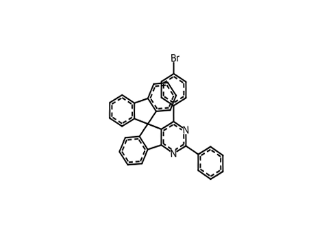 Brc1ccc(-c2nc(-c3ccccc3)nc3c2C2(c4ccccc4-c4ccccc42)c2ccccc2-3)cc1